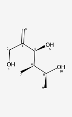 C=C(CO)[C@@H](O)[C@H](C)[C@H](C)O